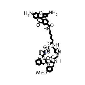 COc1ccc(C[C@H](NC(=O)Cn2cc(CNC(=O)CCCCCNC(=O)c3ccc4c(c3)C(=O)OC43c4ccc(N)cc4Oc4cc(N)ccc43)nn2)C(=O)N[C@@H](Cc2ccccc2)C(=O)N[C@H](/C=C/S(C)(=O)=O)CC(C)C)cc1